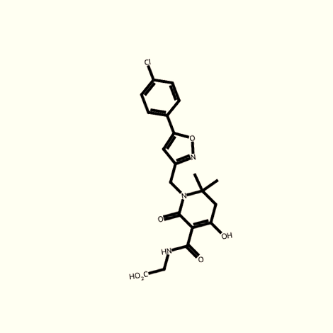 CC1(C)CC(O)=C(C(=O)NCC(=O)O)C(=O)N1Cc1cc(-c2ccc(Cl)cc2)on1